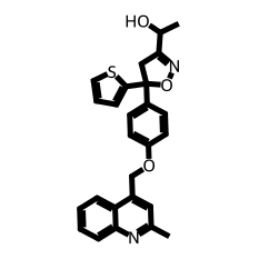 Cc1cc(COc2ccc(C3(c4cccs4)CC(C(C)O)=NO3)cc2)c2ccccc2n1